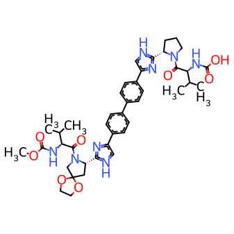 COC(=O)N[C@H](C(=O)N1CC2(C[C@H]1c1nc(-c3ccc(-c4ccc(-c5c[nH]c([C@@H]6CCCN6C(=O)[C@@H](NC(=O)O)C(C)C)n5)cc4)cc3)c[nH]1)OCCO2)C(C)C